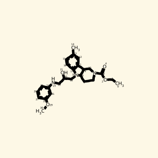 CCOC(=O)N1CCC2C(C1)c1cc(C)ccc1N2CC(O)CNc1cccc(OC)c1